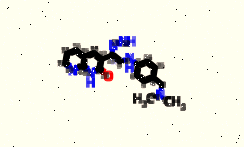 CN(C)Cc1ccc(N/C=C(\N=N)c2cc3cccnc3[nH]c2=O)cc1